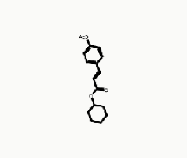 CC(=O)Oc1ccc(/C=C/C(=O)OC2CCCCC2)cc1